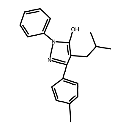 Cc1ccc(-c2nn(-c3ccccc3)c(O)c2CC(C)C)cc1